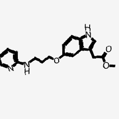 COC(=O)Cc1c[nH]c2ccc(OCCCNc3ccccn3)cc12